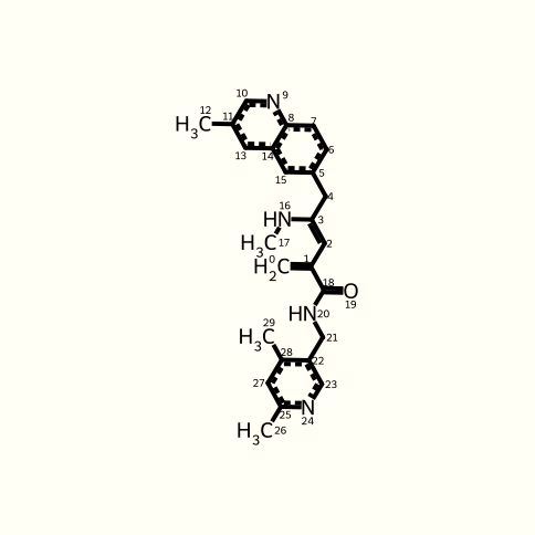 C=C(/C=C(/Cc1ccc2ncc(C)cc2c1)NC)C(=O)NCc1cnc(C)cc1C